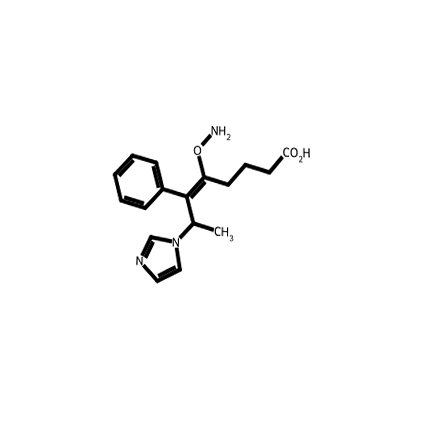 CC(C(=C(CCCC(=O)O)ON)c1ccccc1)n1ccnc1